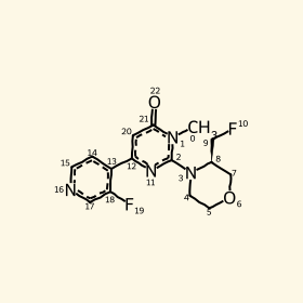 Cn1c(N2CCOC[C@@H]2CF)nc(-c2ccncc2F)cc1=O